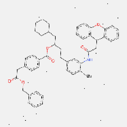 CC(C)(C)c1ccc(CCC(CC2CCCCC2)OC(=O)c2ccc(CC(=O)OCc3ccccc3)cc2)cc1NC(=O)CC1c2ccccc2Oc2ccccc21